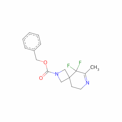 CC1=NCCC2(CN(C(=O)OCc3ccccc3)C2)C1(F)F